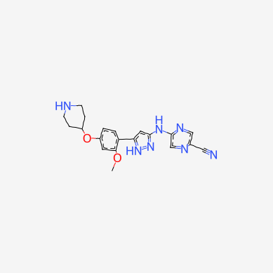 COc1cc(OC2CCNCC2)ccc1-c1cc(Nc2cnc(C#N)cn2)n[nH]1